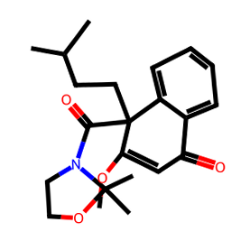 COC1=CC(=O)c2ccccc2C1(CCC(C)C)C(=O)N1CCOC1(C)C